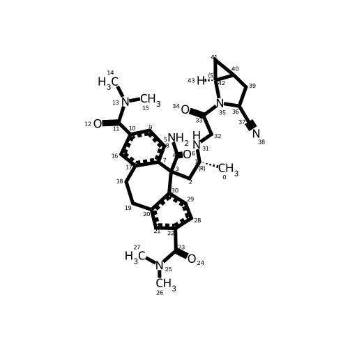 C[C@H](CC1(C(N)=O)c2ccc(C(=O)N(C)C)cc2CCc2cc(C(=O)N(C)C)ccc21)NCC(=O)N1C(C#N)CC2C[C@@H]21